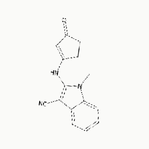 Cn1c(NC2=CC(=O)CC2)c(C#N)c2ccccc21